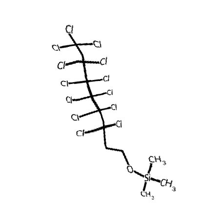 C[Si](C)(C)OCCC(Cl)(Cl)C(Cl)(Cl)C(Cl)(Cl)C(Cl)(Cl)C(Cl)(Cl)C(Cl)(Cl)Cl